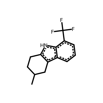 CC1CCc2[nH]c3c(C(F)(F)F)cccc3c2C1